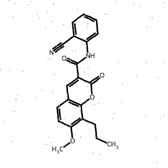 CCCc1c(OC)ccc2cc(C(=O)Nc3ccccc3C#N)c(=O)oc12